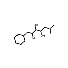 CN(C)CC(O)C(O)C(N)CC1CCCCC1